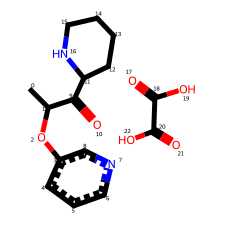 CC(Oc1cccnc1)C(=O)C1CCCCN1.O=C(O)C(=O)O